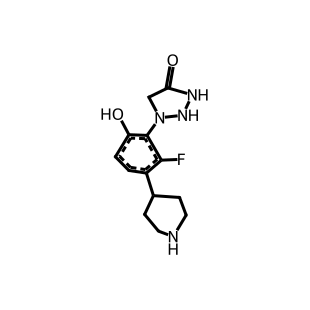 O=C1CN(c2c(O)ccc(C3CCNCC3)c2F)NN1